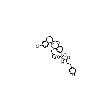 O=C(CCc1ccncc1)NS(=O)(=O)c1ccc2c(c1)N(CC1CCC1)C[C@@]1(CCCc3cc(Cl)ccc31)CO2